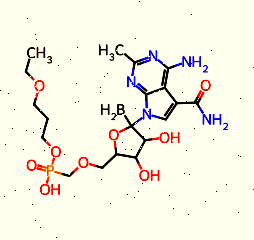 BC1(n2cc(C(N)=O)c3c(N)nc(C)nc32)OC(COCP(=O)(O)OCCCOCC)C(O)C1O